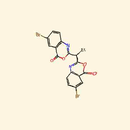 CCC(c1nc2ccc(Br)cc2c(=O)o1)c1nc2ccc(Br)cc2c(=O)o1